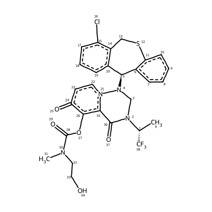 C[C@@H](N1CN([C@@H]2c3ccccc3SCc3c(Cl)cccc32)n2ccc(=O)c(OC(=O)N(C)CCO)c2C1=O)C(F)(F)F